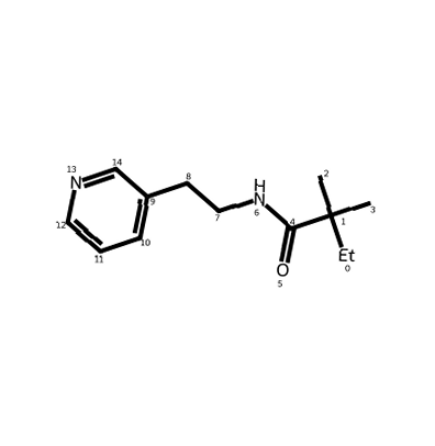 CCC(C)(C)C(=O)NCCc1cccnc1